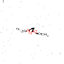 C=C=COC(=O)/C=C\C(=O)OC=C=C